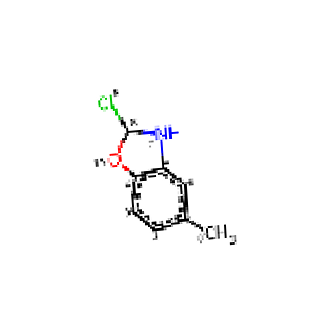 Cc1ccc2c(c1)NC(Cl)O2